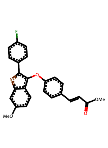 COC(=O)C=Cc1ccc(Oc2c(-c3ccc(F)cc3)sc3cc(OC)ccc23)cc1